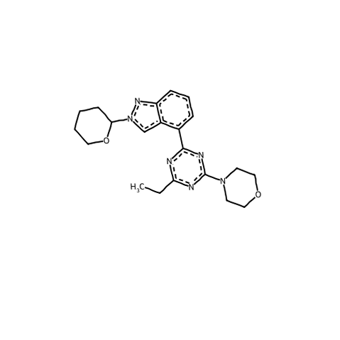 CCc1nc(-c2cccc3nn(C4CCCCO4)cc23)nc(N2CCOCC2)n1